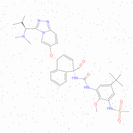 COc1c(NC(=O)N[C@@]2(C=O)C=C[C@@H](Oc3ccc4nnc([C@H](C(C)C)N(C)C)n4c3)c3ccccc32)cc(C(C)(C)C)cc1NS(C)(=O)=O